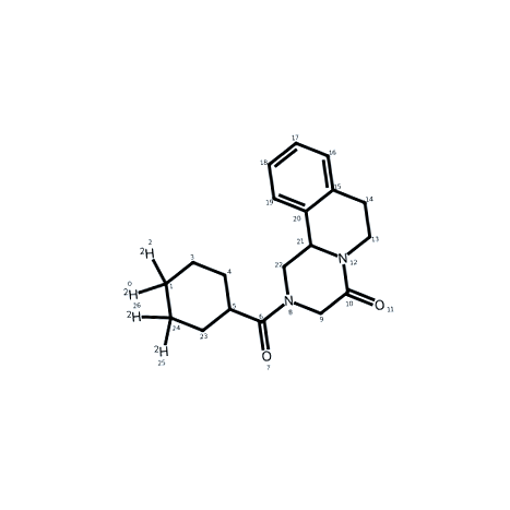 [2H]C1([2H])CCC(C(=O)N2CC(=O)N3CCc4ccccc4C3C2)CC1([2H])[2H]